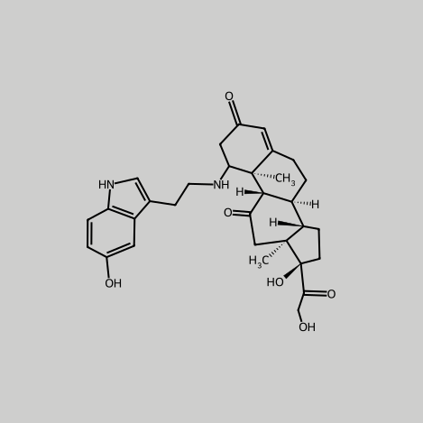 C[C@]12CC(=O)[C@H]3[C@@H](CCC4=CC(=O)CC(NCCc5c[nH]c6ccc(O)cc56)[C@@]43C)[C@@H]1CC[C@]2(O)C(=O)CO